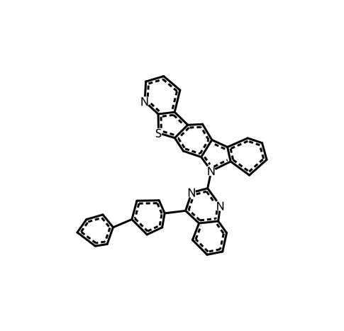 c1ccc(-c2ccc(-c3nc(-n4c5ccccc5c5cc6c(cc54)sc4ncccc46)nc4ccccc34)cc2)cc1